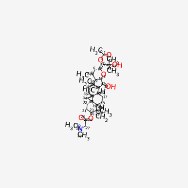 CC(=O)O[C@@H]([C@H]1C[C@@H](C)C2C(O1)[C@H](O)[C@@]1(C)[C@@H]3CC[C@H]4C(C)(C)[C@@H](OC(=O)CN(C)C)CC[C@@]45C[C@@]35CC[C@]21C)C(C)(C)O